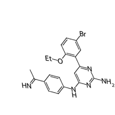 CCOc1ccc(Br)cc1-c1cc(Nc2ccc(C(C)=N)cc2)nc(N)n1